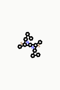 c1ccc(-c2ccccc2-c2ccc3c4c5sc6ccccc6c5cc5c6cc7c(cc6n(c3c2)c54)c2cc3c4ccccc4sc3c3c4ccc(-c5ccccc5-c5ccccc5)cc4n7c23)cc1